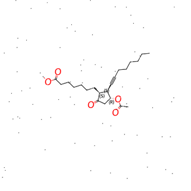 CCCCCCC#C[C@@H]1[C@H](CCCCCCC(=O)OC)C(=O)C[C@H]1OC(C)=O